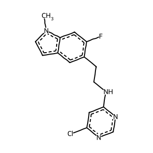 Cn1ccc2cc(CCNc3cc(Cl)ncn3)c(F)cc21